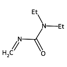 C=NC(=O)N(CC)CC